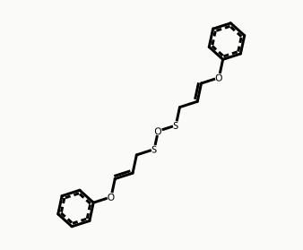 C(=COc1ccccc1)CSOSCC=COc1ccccc1